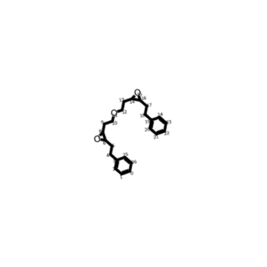 c1ccc(CCC2OC2CCOCCC2OC2CCc2ccccc2)cc1